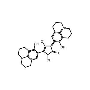 O=C1/C(=c2/cc3c4c(c2O)CCC[N+]=4CCC3)C([O-])=C(c2cc3c4c(c2O)CCCN4CCC3)C1O